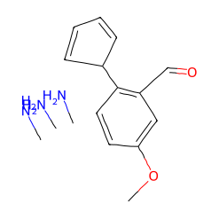 CN.CN.CN.COc1ccc(C2C=CC=C2)c(C=O)c1